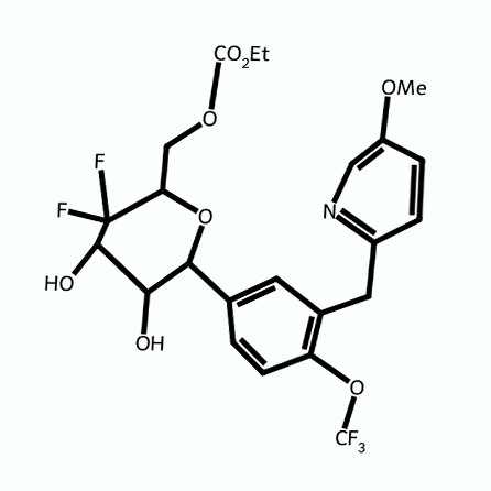 CCOC(=O)OCC1OC(c2ccc(OC(F)(F)F)c(Cc3ccc(OC)cn3)c2)C(O)C(O)C1(F)F